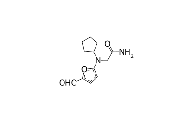 NC(=O)CN(c1ccc(C=O)o1)C1CCCC1